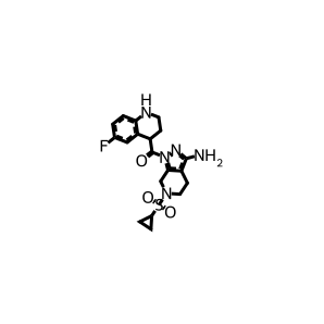 Nc1nn(C(=O)C2CCNc3ccc(F)cc32)c2c1CCN(S(=O)(=O)C1CC1)C2